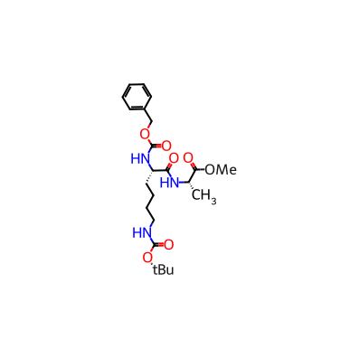 COC(=O)[C@H](C)NC(=O)[C@H](CCCCNC(=O)OC(C)(C)C)NC(=O)OCc1ccccc1